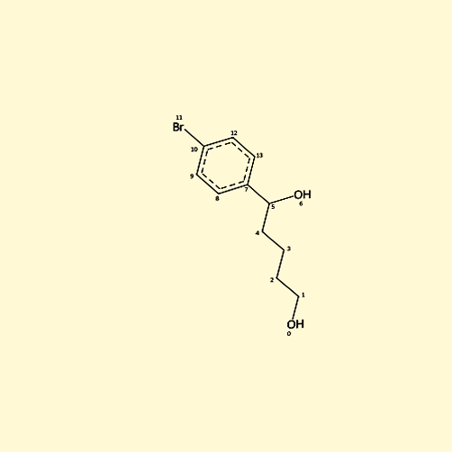 OCCCCC(O)c1ccc(Br)cc1